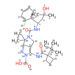 CC(C)(O)CC(NC(=O)N1Cc2c(nn(C(=O)O)c2NC(=O)C2([Si](C)(C)C)CCC2)C1(C)C)c1ccccc1F